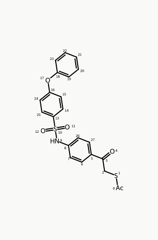 CC(=O)SCC(=O)c1ccc(NS(=O)(=O)c2ccc(Oc3ccccc3)cc2)cc1